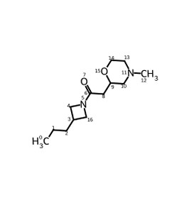 CCCC1CN(C(=O)CC2CN(C)CCO2)C1